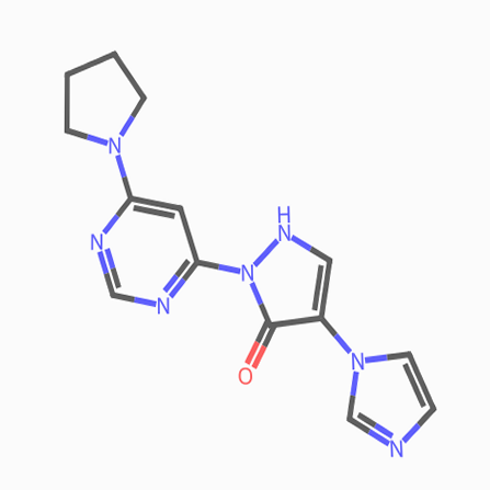 O=c1c(-n2ccnc2)c[nH]n1-c1cc(N2CCCC2)ncn1